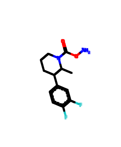 CC1C(c2ccc(F)c(F)c2)CCCN1C(=O)ON